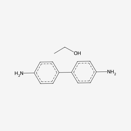 CCO.Nc1ccc(-c2ccc(N)cc2)cc1